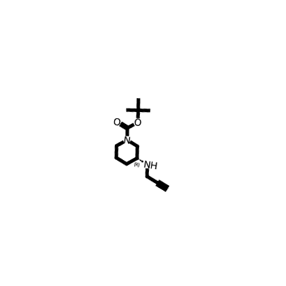 C#CCN[C@@H]1CCCN(C(=O)OC(C)(C)C)C1